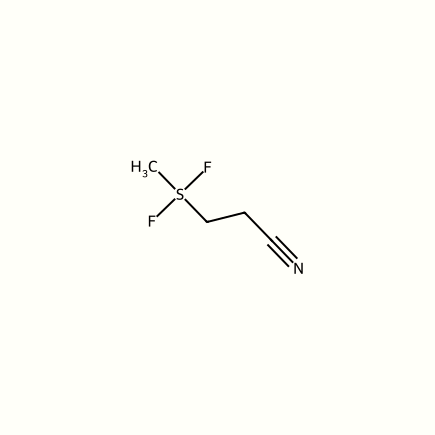 CS(F)(F)CCC#N